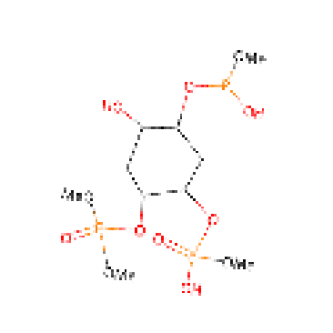 COP(O)OC1CC(OP(=O)(O)OC)C(OP(=O)(OC)OC)CC1O